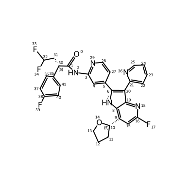 O=C(Nc1cc(-c2[nH]c3c([C@@H]4CCCO4)cc(F)nc3c2-c2ccccn2)ccn1)[C@@H](CC(F)F)c1ccc(F)cc1